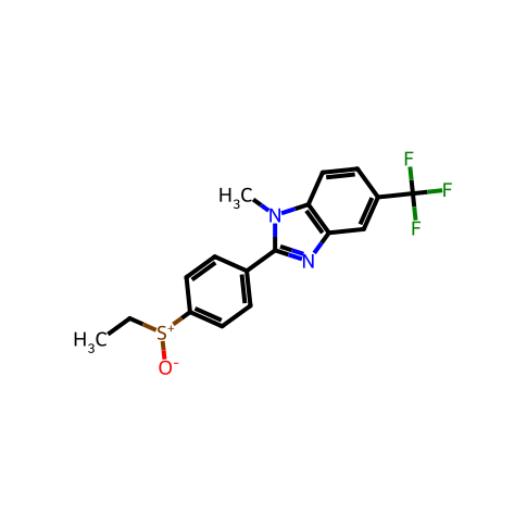 CC[S+]([O-])c1ccc(-c2nc3cc(C(F)(F)F)ccc3n2C)cc1